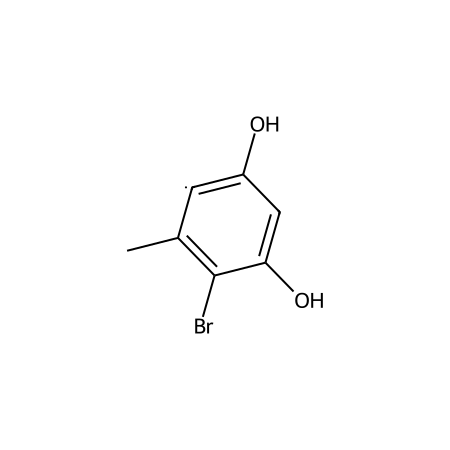 Cc1[c]c(O)cc(O)c1Br